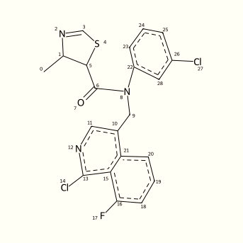 CC1N=CSC1C(=O)N(Cc1cnc(Cl)c2c(F)cccc12)c1cccc(Cl)c1